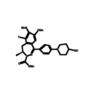 CNC(=O)N1N=C(c2ccc(N3CCC(O)CC3)cc2)c2cc(OC)c(OC)c(F)c2C[C@@H]1C